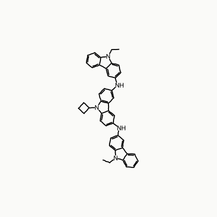 CCn1c2ccccc2c2cc(Nc3ccc4c(c3)c3cc(Nc5ccc6c(c5)c5ccccc5n6CC)ccc3n4C3CCC3)ccc21